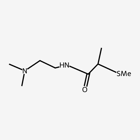 CSC(C)C(=O)NCCN(C)C